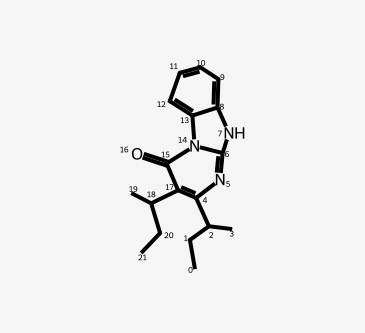 CCC(C)c1nc2[nH]c3ccccc3n2c(=O)c1C(C)CC